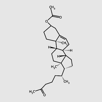 CC(=O)CCC[C@@H](C)[C@H]1CC[C@H]2[C@@H]3CC=C4CC(OC(C)=O)CC[C@]4(C)[C@H]3CC[C@]12C